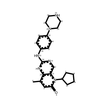 Cc1cc(=O)n(C2CCCC2)c2cnc(Nc3ccc(N4CCNCC4)cc3)nc12